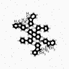 CC1(C)c2ccccc2-c2ccc(N(c3ccc4c(c3)C(C)(C)C3C=CC=CC43)c3ccc4c(-c5cccc(-c6ccccc6)c5)c5cc(N(c6ccc7c(c6)C(C)(C)c6ccccc6-7)c6ccc7c(c6)C(C)(C)C6C=CC=CC76)ccc5c(-c5cccc(-c6ccccc6)c5)c4c3)cc21